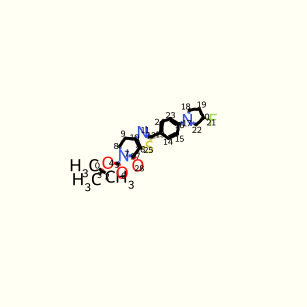 CC(C)(C)OC(=O)N1CCc2nc(-c3ccc(N4CC[C@@H](F)C4)cc3)sc2C1=O